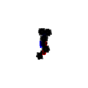 C1=CC2CC1CC2COc1cccc(-c2nnc(-c3ccc(-n4c5ccccc5c5ccccc54)cc3)o2)c1